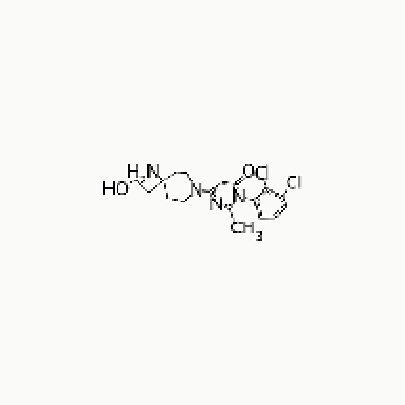 Cc1nc(N2CCC(N)(CCO)CC2)cc(=O)n1-c1cccc(Cl)c1Cl